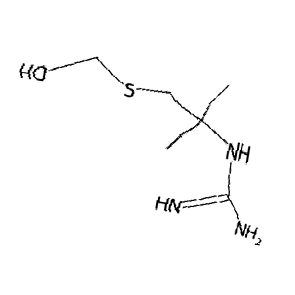 CC(C)(CSCO)NC(=N)N